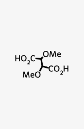 COC(C(=O)O)C(OC)C(=O)O